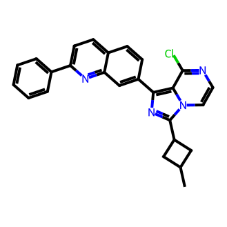 CC1CC(c2nc(-c3ccc4ccc(-c5ccccc5)nc4c3)c3c(Cl)nccn23)C1